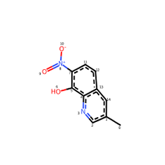 Cc1cnc2c(O)c([N+](=O)[O-])ccc2c1